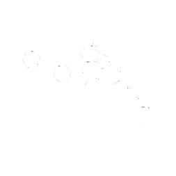 Cc1cc(Oc2ccccc2)ccc1N1C(=O)Nc2c(NC(=O)[C@H]3CCN(C(=O)OC(C)(C)C)C3)sc3nccc1c23